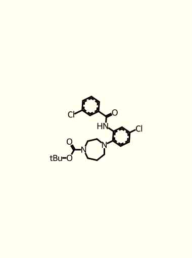 CC(C)(C)OC(=O)N1CCCN(c2ccc(Cl)cc2NC(=O)c2cccc(Cl)c2)CC1